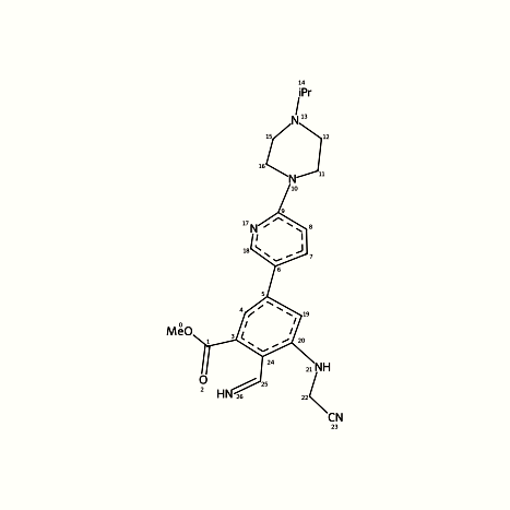 COC(=O)c1cc(-c2ccc(N3CCN(C(C)C)CC3)nc2)cc(NCC#N)c1C=N